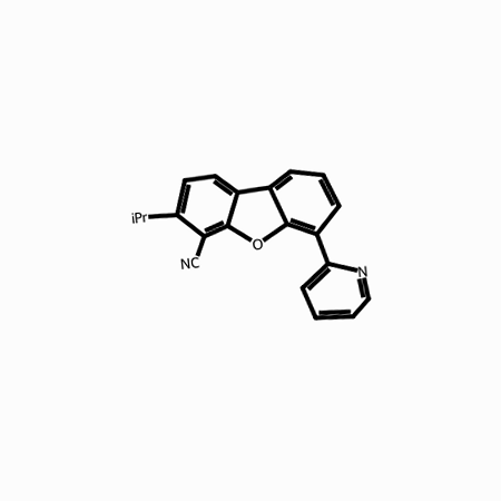 CC(C)c1ccc2c(oc3c(-c4ccccn4)cccc32)c1C#N